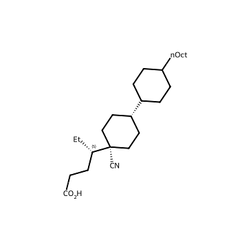 CCCCCCCCC1CCC([C@H]2CC[C@](C#N)([C@@H](CC)CCC(=O)O)CC2)CC1